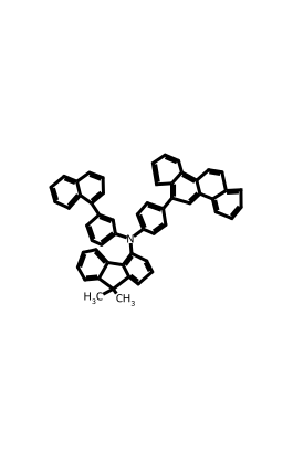 CC1(C)c2ccccc2-c2c(N(c3ccc(-c4cc5c6ccccc6ccc5c5ccccc45)cc3)c3cccc(-c4cccc5ccccc45)c3)cccc21